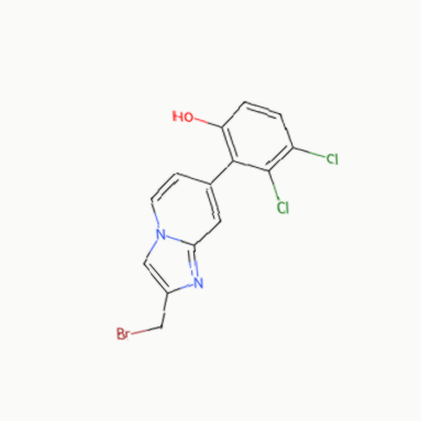 Oc1ccc(Cl)c(Cl)c1-c1ccn2cc(CBr)nc2c1